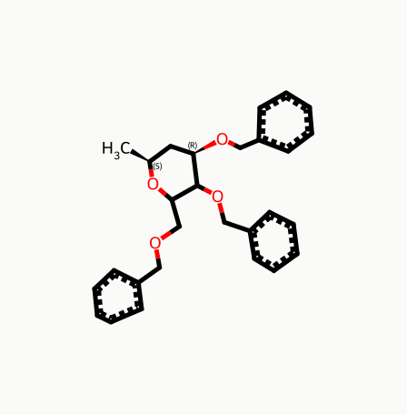 C[C@H]1C[C@@H](OCc2ccccc2)C(OCc2ccccc2)C(COCc2ccccc2)O1